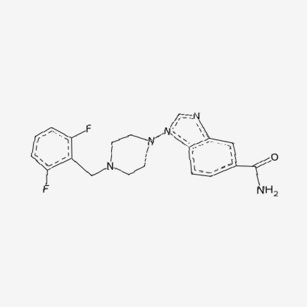 NC(=O)c1ccc2c(c1)ncn2N1CCN(Cc2c(F)cccc2F)CC1